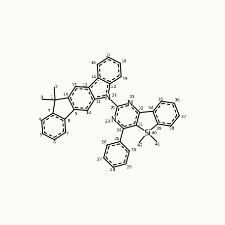 CC1(C)c2ccccc2-c2cc3c(cc21)c1ccccc1n3-c1nc(-c2ccccc2)c2c(n1)-c1ccccc1[Si]2(C)C